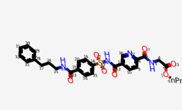 CCCOC(=O)CNC(=O)c1ccc(C(=O)NS(=O)(=O)c2ccc(C(=O)NCCCc3ccccc3)cc2)cn1